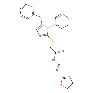 O=C(CSc1nnc(Cc2ccccc2)n1-c1ccccc1)N/N=C/c1ccco1